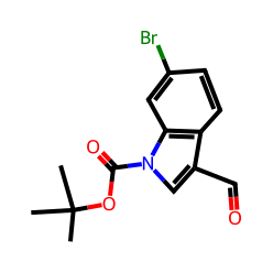 CC(C)(C)OC(=O)n1cc(C=O)c2ccc(Br)cc21